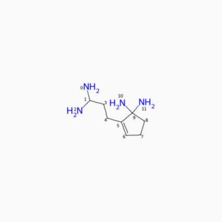 NC(N)CCC1=CCCC1(N)N